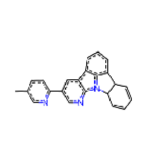 Cc1ccc(-c2cnc3c(c2)c2cccc4c2n3C2C=CC=CC42)nc1